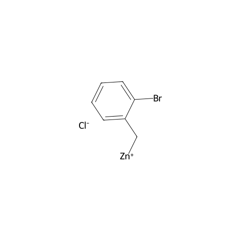 [Cl-].[Zn+][CH2]c1ccccc1Br